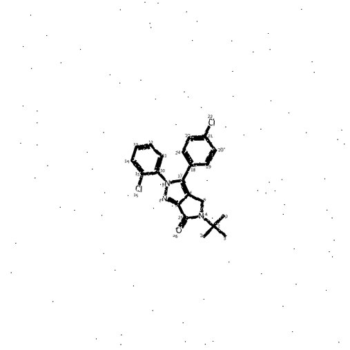 CC(C)(C)N1Cc2c(nn(-c3ccccc3Cl)c2-c2ccc(Cl)cc2)C1=O